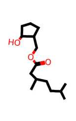 CC(C)CCC(C)CC(=O)OCC1CCCC1O